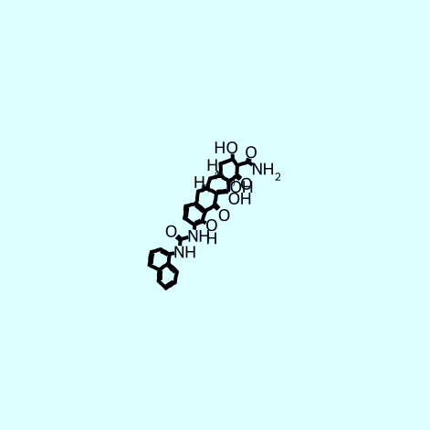 NC(=O)C1C(=O)[C@@]2(O)C(O)=C3C(=O)c4c(ccc(NC(=O)Nc5cccc6ccccc56)c4O)C[C@H]3C[C@H]2CC1O